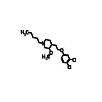 CCCCCN1CCC(CCOc2ccc(Cl)c(Cl)c2)C(OC)C1